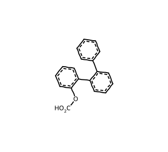 O=C(O)Oc1ccccc1-c1ccccc1-c1ccccc1